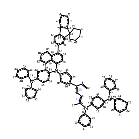 C=C/C(=C\C=C(/C)N(c1ccccc1)c1ccc(N(c2ccccc2)c2ccccc2)cc1)c1ccc(N(c2ccc(N(c3ccccc3)c3ccccc3)cc2)c2ccc(-c3ccc4c(c3)C3(CCCCC3)c3ccccc3-4)c3ccccc23)cc1